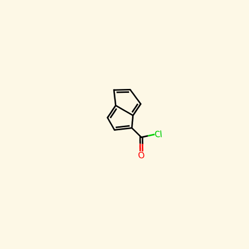 O=C(Cl)C1=CC=C2C=CC=C21